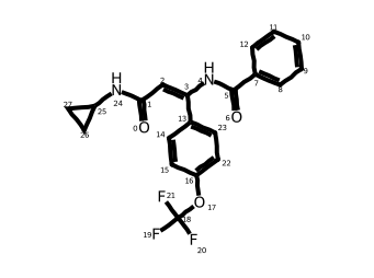 O=C(C=C(NC(=O)c1ccccc1)c1ccc(OC(F)(F)F)cc1)NC1CC1